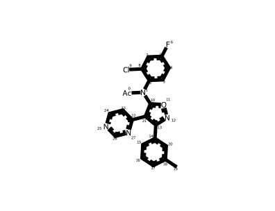 CC(=O)N(c1ccc(F)cc1Cl)c1onc(-c2cccc(C)c2)c1-c1ccncn1